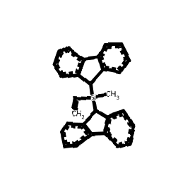 C=C[Si](C)(C1c2ccccc2-c2ccccc21)C1c2ccccc2-c2ccccc21